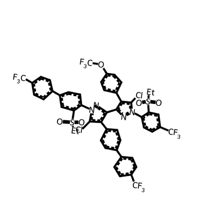 CCS(=O)(=O)c1cc(-c2ccc(C(F)(F)F)cc2)ccc1-n1nc(-c2nn(-c3ccc(C(F)(F)F)cc3S(=O)(=O)CC)c(Cl)c2-c2ccc(OC(F)(F)F)cc2)c(-c2ccc(-c3ccc(C(F)(F)F)cc3)cc2)c1Cl